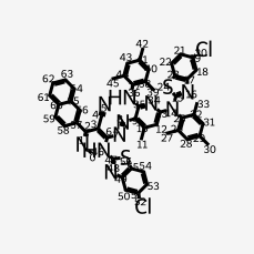 C\N=C(/C(C#N)=C(/N=N/c1c(C)cc(N(c2nc3cc(Cl)ccc3s2)c2c(C)cc(C)cc2C)nc1Nc1c(C)cc(C)cc1C)Nc1nc2cc(Cl)ccc2s1)c1ccc2ccccc2c1